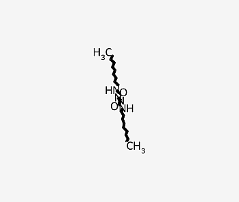 CCCCCCCCCCNC(=O)N=NC(=O)NCCCCCCCCCC